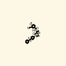 COc1ccc(C(=O)Nc2cnn3c2C(=O)N(c2ccc(C(F)(F)c4ccccc4)cc2)[C@@H](C)[C@@H]3C)cc1C#N